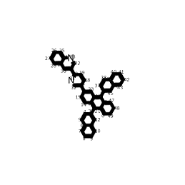 C1=c2c(-c3ccc4ccccc4c3)c3ccc(-c4ccc(-c5cnc6ccccc6c5)nc4)cc3c(-c3ccc4ccccc4c3)c2=CCC1